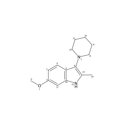 COc1ccc2c(N3CCCCC3)c(C)[nH]c2c1